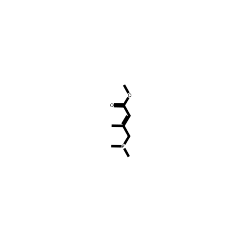 COC(=O)/C=C(\C)CP(C)C